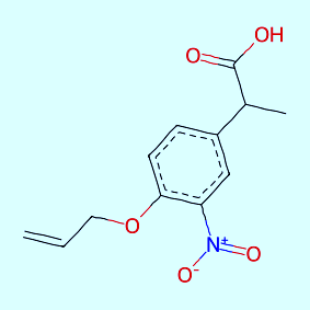 C=CCOc1ccc(C(C)C(=O)O)cc1[N+](=O)[O-]